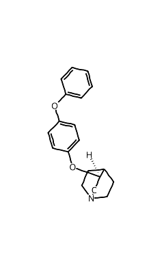 c1ccc(Oc2ccc(O[C@@H]3CN4CCC3CC4)cc2)cc1